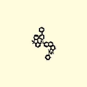 CC1(C)c2ccccc2-c2c(N(c3ccc(-c4ccccc4)cc3)c3ccc4c(ccc5ccc6nn(-c7ccccc7)nc6c54)c3)cccc21